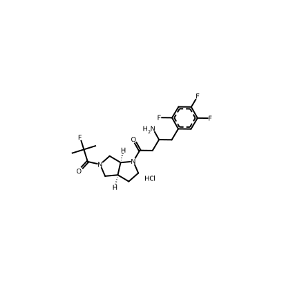 CC(C)(F)C(=O)N1C[C@@H]2CCN(C(=O)CC(N)Cc3cc(F)c(F)cc3F)[C@@H]2C1.Cl